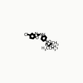 CC1(C)OB(c2ccc(Nc3nc4cc(Cl)ccc4o3)cc2)OC1(C)C